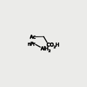 CC(=O)CC(=O)O.CC[CH2][AlH2]